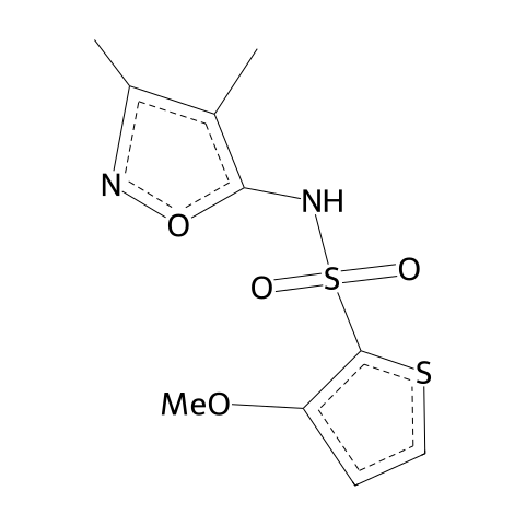 COc1ccsc1S(=O)(=O)Nc1onc(C)c1C